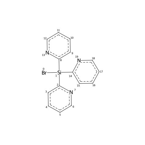 Br[Si](c1ccccn1)(c1ccccn1)c1ccccn1